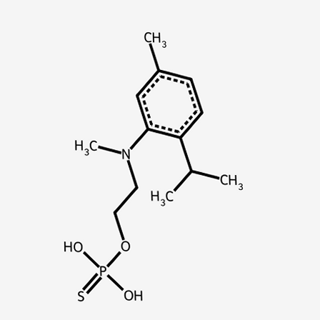 Cc1ccc(C(C)C)c(N(C)CCOP(O)(O)=S)c1